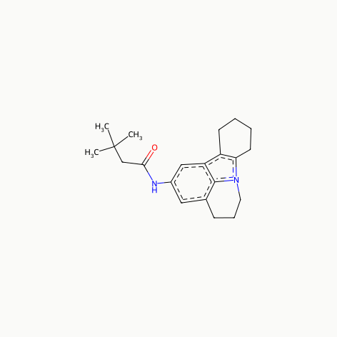 CC(C)(C)CC(=O)Nc1cc2c3c(c1)c1c(n3CCC2)CCCC1